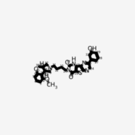 COc1cccc2c1[C@@H]1CN(CCCCn3c(=O)[nH]c4c(sc5ncc(-c6cccc(O)c6)nc54)c3=O)C[C@@H]1CO2